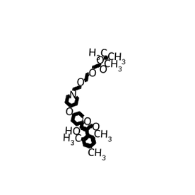 Cc1cc(C)c(C2=C(O)[C@]3(CC[C@H](OC4CCN(CCOCCOCC(=O)OC(C)(C)C)CC4)CC3)OC2=O)c(C)c1